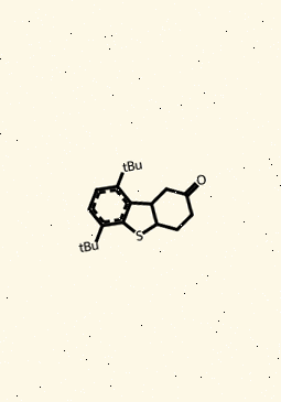 CC(C)(C)c1ccc(C(C)(C)C)c2c1SC1CCC(=O)CC21